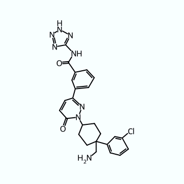 NCC1(c2cccc(Cl)c2)CCC(n2nc(-c3cccc(C(=O)Nc4nn[nH]n4)c3)ccc2=O)CC1